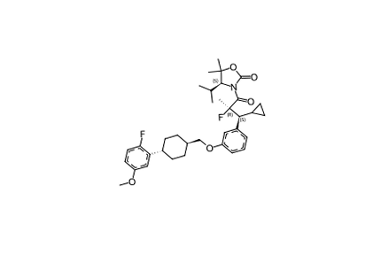 COc1ccc(F)c([C@H]2CC[C@H](COc3cccc([C@H](C4CC4)[C@@](C)(F)C(=O)N4C(=O)OC(C)(C)[C@@H]4C(C)C)c3)CC2)c1